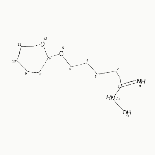 N=C(CCCCOC1CCCCO1)NO